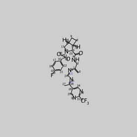 C=C(CNC(=O)[C@@H]1[C@H]2CC[C@H]2CN1S(=O)(=O)c1ccc(F)cc1)/N=C\N=C(/C)c1cnc(C(F)(F)F)nc1